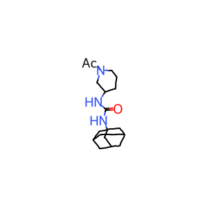 CC(=O)N1CCCC(NC(=O)NC23CC4CC(CC(C4)C2)C3)C1